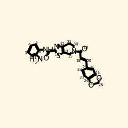 Nc1ccccc1NC(=O)c1nc2c(s1)CN(C(=O)C=Cc1ccc3c(c1)OCO3)CC2